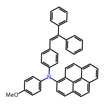 COc1ccc(N(c2ccc(C=C(c3ccccc3)c3ccccc3)cc2)c2ccc3ccc4cccc5ccc2c3c45)cc1